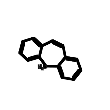 C1=Cc2ccccc2[SiH2]c2ccccc21